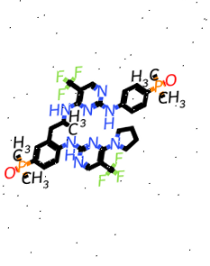 CC(Cc1cc(P(C)(C)=O)ccc1Nc1ncc(C(F)(F)F)c(N2CCCC2)n1)Nc1nc(Nc2ccc(P(C)(C)=O)cc2)ncc1C(F)(F)F